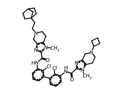 Cn1c(C(=O)Nc2cccc(-c3cccc(NC(=O)c4nc5c(n4C)CCN(C4CCC4)C5)c3Cl)c2Cl)nc2c1CCN(CCC13CCC(CC1)C3)C2